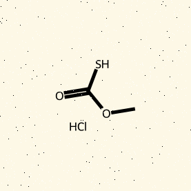 COC(=O)S.Cl